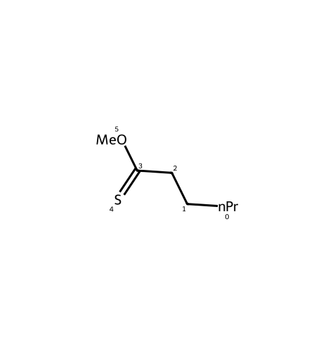 CCCCCC(=S)OC